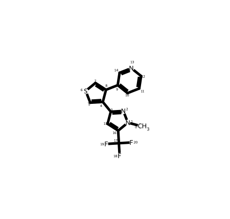 Cn1nc(-c2[c]scc2-c2cccnc2)cc1C(F)(F)F